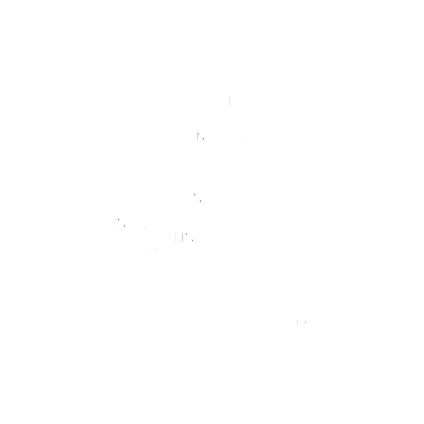 Cc1nc(-c2cc3cc[nH]c(=O)c3c(Nc3ccc(OC4CCOCC4)cc3)n2)cs1